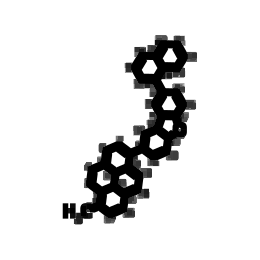 CC1=C2C=CC3=CC=C(C4=CC5c6cc(-c7cccc8ccccc78)ccc6OC5C=C4)C4=CC=C(C=C1)C2C34